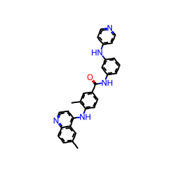 Cc1ccc2nccc(Nc3ccc(C(=O)Nc4cccc(Nc5ccncc5)c4)cc3C)c2c1